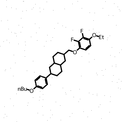 CCCCOc1ccc(C2CCC3CC(COc4ccc(OCC)c(F)c4F)CCC3C2)cc1